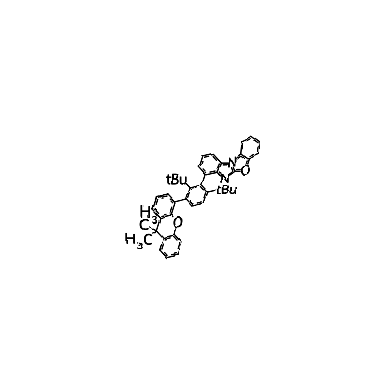 CC(C)(C)c1ccc(-c2cccc3c2Oc2ccccc2C3(C)C)c(C(C)(C)C)c1-c1cccc2c1nc1oc3ccccc3n12